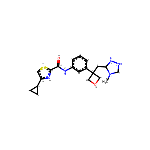 CN1CNNC1CC1(c2cccc(NC(=O)c3nc(C4CC4)cs3)c2)COC1